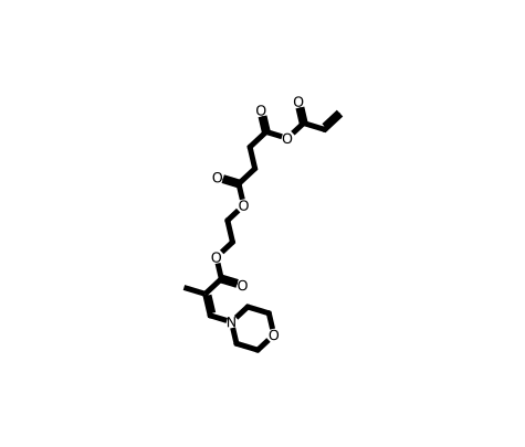 C=CC(=O)OC(=O)CCC(=O)OCCOC(=O)C(C)=CN1CCOCC1